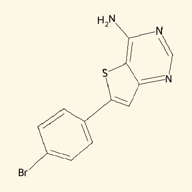 Nc1ncnc2cc(-c3ccc(Br)cc3)sc12